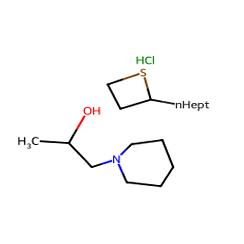 CC(O)CN1CCCCC1.CCCCCCCC1CCS1.Cl